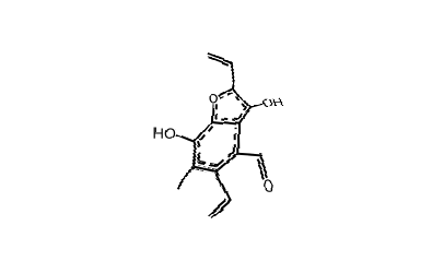 C=Cc1oc2c(O)c(C)c(C=C)c(C=O)c2c1O